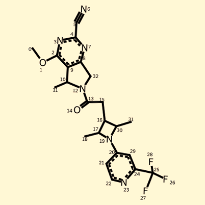 COc1nc(C#N)nc2c1C(C)N(C(=O)CC1C(C)N(c3ccnc(C(F)(F)F)c3)C1C)C2